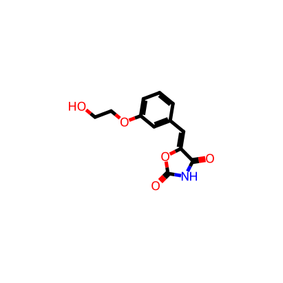 O=C1NC(=O)C(=Cc2cccc(OCCO)c2)O1